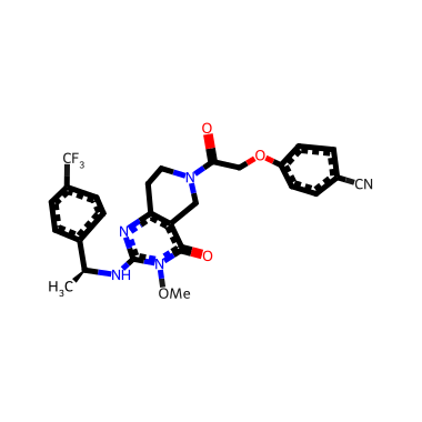 COn1c(N[C@@H](C)c2ccc(C(F)(F)F)cc2)nc2c(c1=O)CN(C(=O)COc1ccc(C#N)cc1)CC2